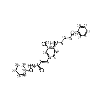 O=C(/C=C/c1cnc(NCCCOc2ccccc2)c(Cl)c1)NOC1CCCCO1